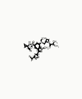 CCN(CC1CCN1C(=O)C(C)C)c1cc(S(=O)(=O)NC2(C#N)CC2)cc2c(-c3nnc(C(F)F)s3)nn(C)c12